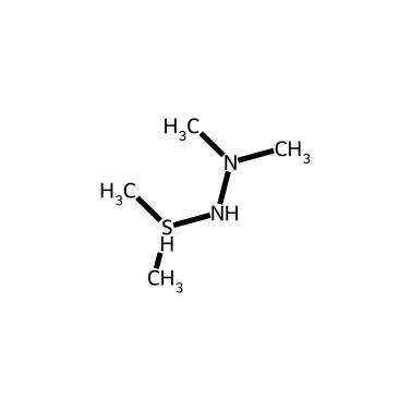 CN(C)N[SH](C)C